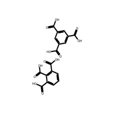 O=C(O)c1cc(C(=O)O)cc(C(=O)O)c1.O=C(O)c1cccc(C(=O)O)c1C(=O)O